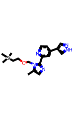 Cc1cnc(-c2cc(-c3cn[nH]c3)ccn2)n1COCC[Si](C)(C)C